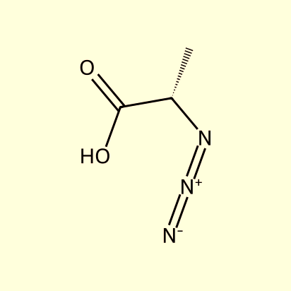 C[C@H](N=[N+]=[N-])C(=O)O